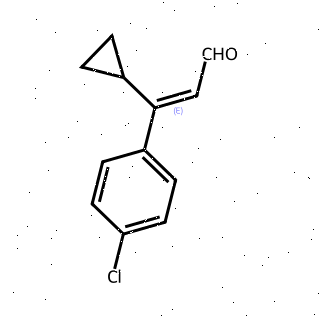 O=C/C=C(/c1ccc(Cl)cc1)C1CC1